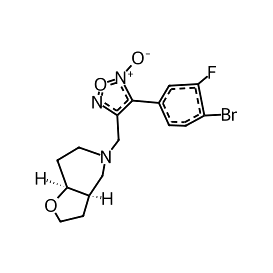 [O-][n+]1onc(CN2CC[C@@H]3OCC[C@@H]3C2)c1-c1ccc(Br)c(F)c1